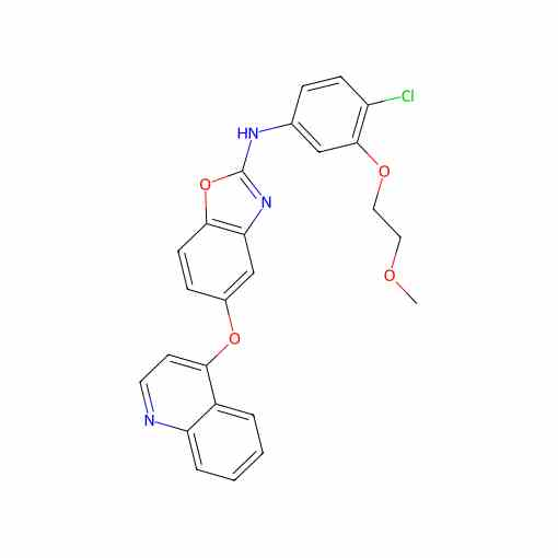 COCCOc1cc(Nc2nc3cc(Oc4ccnc5ccccc45)ccc3o2)ccc1Cl